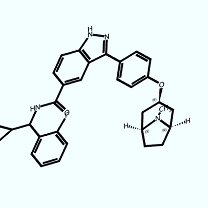 CN1[C@@H]2CC[C@H]1C[C@@H](Oc1ccc(-c3n[nH]c4ccc(C(=O)NC(c5ccccc5F)C5CC5)cc34)cc1)C2